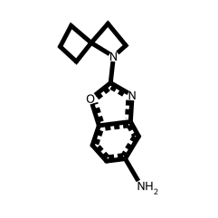 Nc1ccc2oc(N3CCC34CCC4)nc2c1